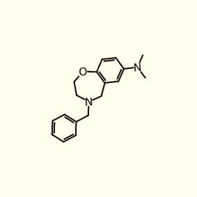 CN(C)c1ccc2c(c1)CN(Cc1ccccc1)CCO2